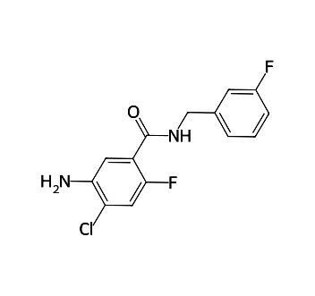 Nc1cc(C(=O)NCc2cccc(F)c2)c(F)cc1Cl